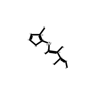 C/C=C(C)/C(C)=[C](\C)[Zr][C]1=C(C)C=CC1